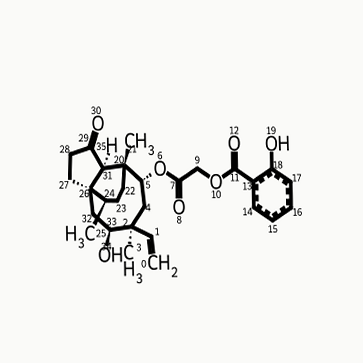 C=C[C@]1(C)C[C@@H](OC(=O)COC(=O)c2ccccc2O)[C@]2(C)CC[C@@H](C)[C@@]3(CCC(=O)[C@@H]23)C[C@@H]1O